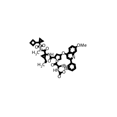 C=CC1CC1(NC(=O)C1CC(Oc2cc(-c3ccccc3)nc3cc(OC)ccc23)CN1C(=O)C(NC(=O)OC(C)(C)C)C(C)(C)C)C(=O)N(C)S(=O)(=O)C1(C2CCC2)CC1